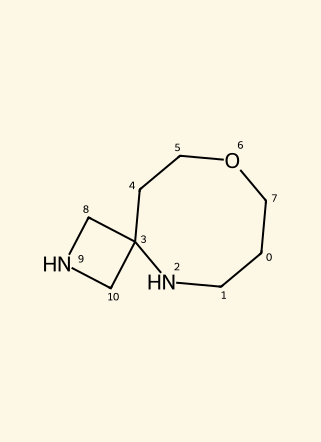 C1CNC2(CCOC1)CNC2